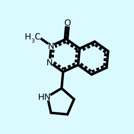 Cn1nc(C2CCCN2)c2ccccc2c1=O